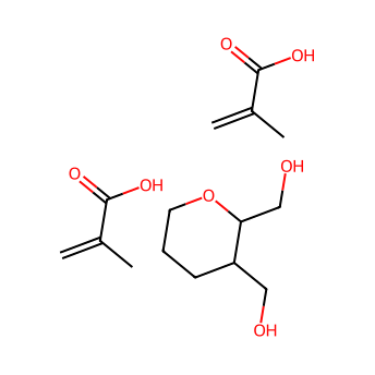 C=C(C)C(=O)O.C=C(C)C(=O)O.OCC1CCCOC1CO